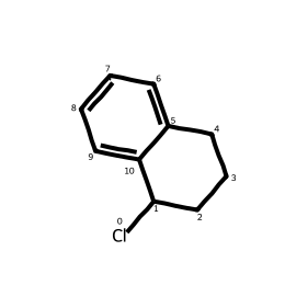 ClC1CCCc2c[c]ccc21